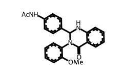 COc1ccccc1N1C(=O)c2ccccc2NC1c1ccc(NC(C)=O)cc1